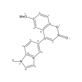 COc1ccc2oc(=O)cc(-c3ccc4c(ccn4C)c3)c2c1